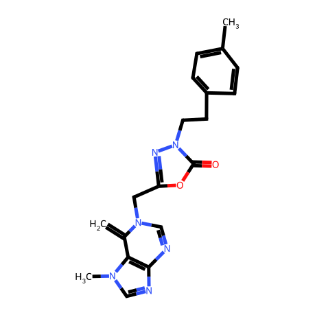 C=C1c2c(ncn2C)N=CN1Cc1nn(CCc2ccc(C)cc2)c(=O)o1